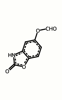 O=COc1ccc2oc(=O)[nH]c2c1